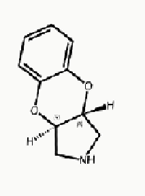 c1ccc2c(c1)O[C@@H]1CNC[C@H]1O2